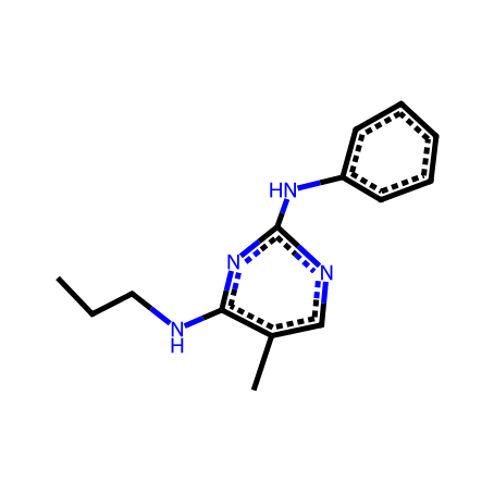 CCCNc1nc(Nc2ccccc2)ncc1C